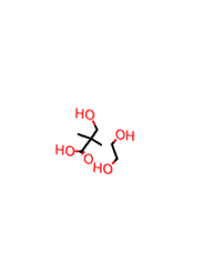 CC(C)(CO)C(=O)O.OCCO